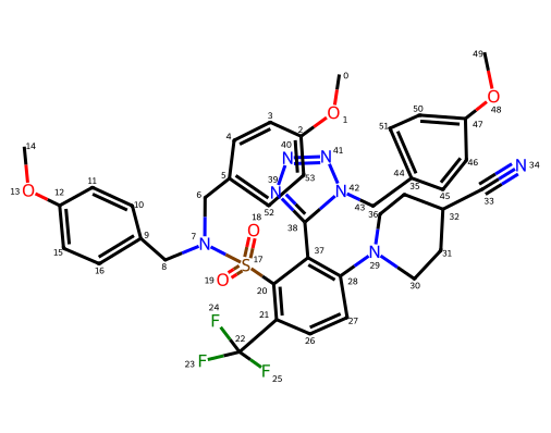 COc1ccc(CN(Cc2ccc(OC)cc2)S(=O)(=O)c2c(C(F)(F)F)ccc(N3CCC(C#N)CC3)c2-c2nnnn2Cc2ccc(OC)cc2)cc1